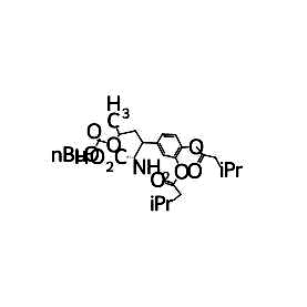 CCCCOC(=O)OC(C)CC(c1ccc(OC(=O)CC(C)C)c(OC(=O)CC(C)C)c1)[C@H](N)C(=O)O